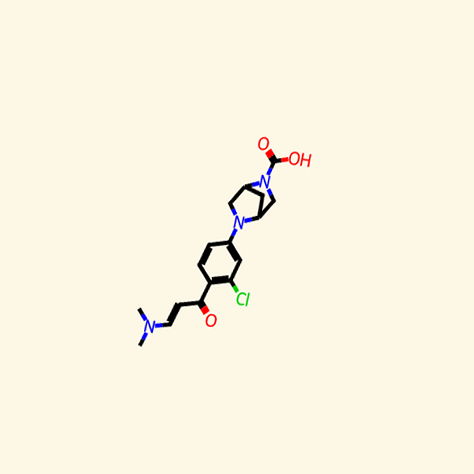 CN(C)/C=C/C(=O)c1ccc(N2CC3CC2CN3C(=O)O)cc1Cl